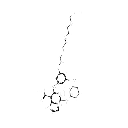 COc1cc(Nc2nc(N[C@H]3CCCC[C@H]3N)n3ccnc3c2C(N)=O)cc(OCCOCCOCCOCC(=O)O)c1